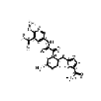 COc1ncc(NC(=O)C(=O)N2C[C@@H](C)CCC2Cc2ccc(C(N)=O)s2)cc1C(N)=O